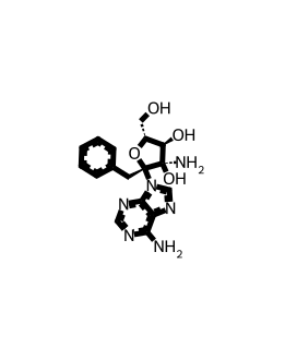 Nc1ncnc2c1ncn2[C@]1(Cc2ccccc2)O[C@H](CO)[C@@H](O)[C@@]1(N)O